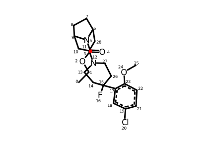 CCOC(=O)N1C2CCC1CC(N1CCC(F)(c3cc(Cl)ccc3OC)CC1)C2